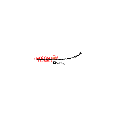 Cc1ccccc1.O=CC(=O)C(=O)C(=O)C(=O)C(=O)C(=O)C(=O)C(=O)C(=O)C(=O)CCC(CCCCCCCCCCCCCCCCCC1CC1)S(=O)(=O)O